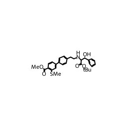 COC(=O)c1ccc(-c2ccc(CCNC(C(=O)OC(C)(C)C)[C@H](O)c3ccccc3)cc2)cc1SC